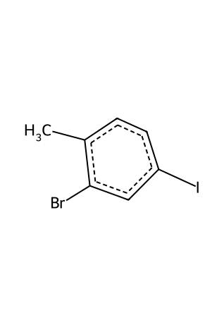 Cc1ccc(I)cc1Br